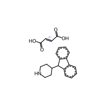 O=C(O)/C=C/C(=O)O.c1ccc2c(c1)-c1ccccc1C2C1CCNCC1